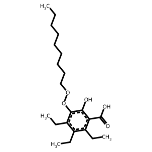 CCCCCCCCCOOc1c(O)c(C(=O)O)c(CC)c(CC)c1CC